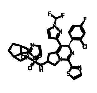 O=S(=O)(NC1CC2=C(c3ccn(C(F)F)n3)[C@H](c3ccc(F)cc3Cl)N=C(c3nccs3)N2C1)N1CC2CCC(C1)C2(O)c1ncc[nH]1